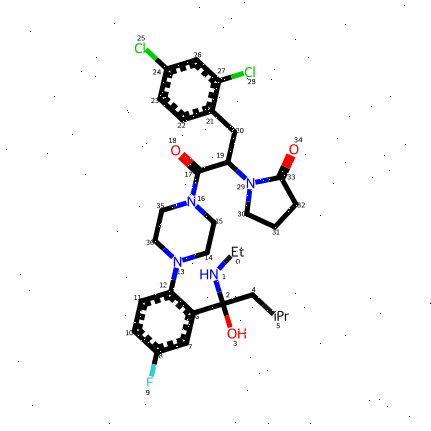 CCNC(O)(CC(C)C)c1cc(F)ccc1N1CCN(C(=O)C(Cc2ccc(Cl)cc2Cl)N2CCCC2=O)CC1